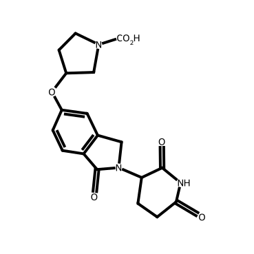 O=C1CCC(N2Cc3cc(OC4CCN(C(=O)O)C4)ccc3C2=O)C(=O)N1